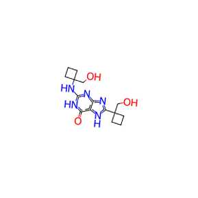 O=c1[nH]c(NC2(CO)CCC2)nc2nc(C3(CO)CCC3)[nH]c12